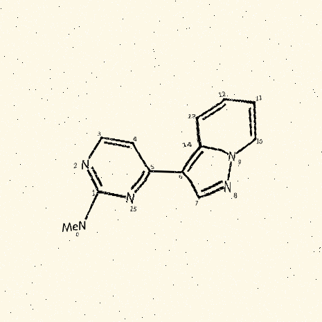 CNc1nccc(-c2cnn3ccccc23)n1